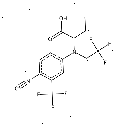 [C-]#[N+]c1ccc(N(CC(F)(F)F)C(CC)C(=O)O)cc1C(F)(F)F